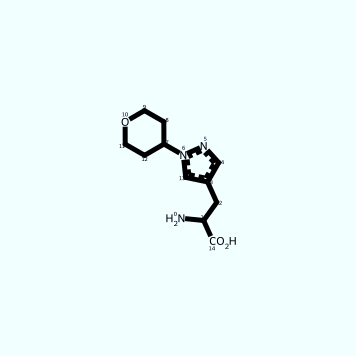 NC(Cc1cnn(C2CCOCC2)c1)C(=O)O